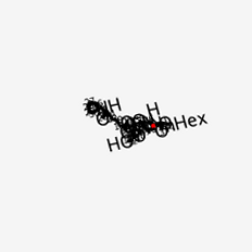 CCCCCCOC(=O)Nc1ccn([C@@H]2O[C@H](CO)[C@@H](OC(=O)CCCCC(=O)Nc3ccccc3)C2(F)F)c(=O)n1